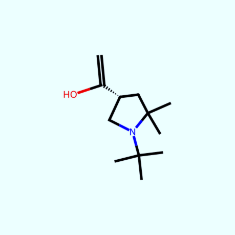 C=C(O)[C@H]1CN(C(C)(C)C)C(C)(C)C1